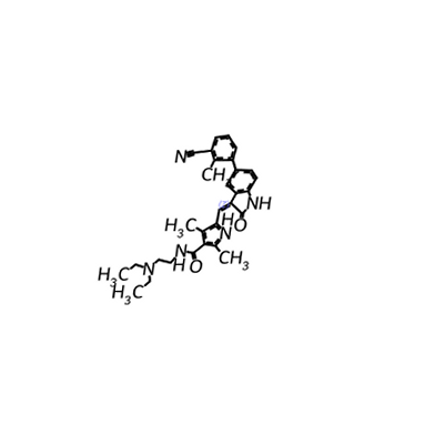 CCN(CC)CCNC(=O)c1c(C)[nH]c(/C=C2\C(=O)Nc3ccc(-c4cccc(C#N)c4C)cc32)c1C